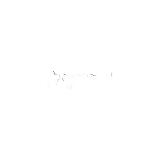 C=CC[N+](CCO)(CCO)C(=O)CCCCCCCC=CCCCCCCCC